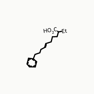 CCC(CCCC=CCCCc1ccccc1)C(=O)O